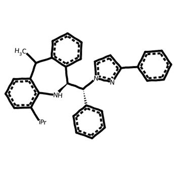 CC(C)c1cccc2c1N[C@H]([C@@H](c1ccccc1)n1ccc(-c3ccccc3)n1)c1ccccc1C2C